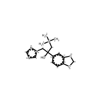 C[Si](C)(C)CC(O)(Cn1cncn1)c1ccc2c(c1)OCO2